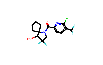 O=C(c1ccc(C(F)F)c(Cl)n1)N1CC(F)(F)C(O)C12CCCC2